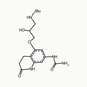 CC(C)(C)NCC(O)COc1cc(NC(N)=O)cc2c1CCC(=O)N2